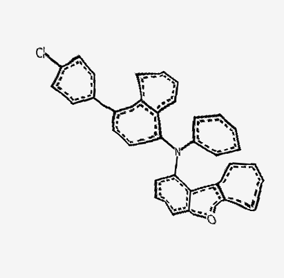 Clc1ccc(-c2ccc(N(c3ccccc3)c3cccc4oc5ccccc5c34)c3ccccc23)cc1